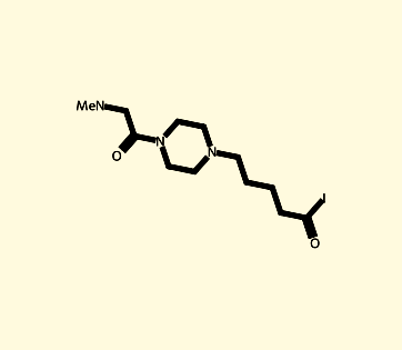 CNCC(=O)N1CCN(CCCCC(=O)I)CC1